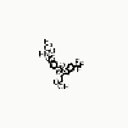 CC(=O)Nc1nc2ccc(S(=O)(=O)n3c(CCC(=O)O)cc4cc(C(F)(F)F)ccc43)cc2s1